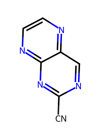 N#Cc1ncc2nccnc2n1